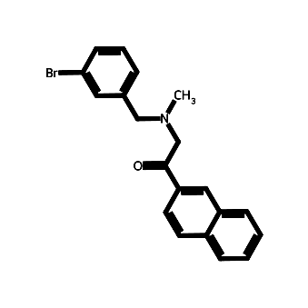 CN(CC(=O)c1ccc2ccccc2c1)Cc1cccc(Br)c1